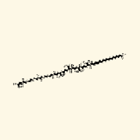 O=C(O)CCCCCCCCCCCCCCCCC(=O)N[C@@H](CCC(=O)N[C@H](CCC(=O)N[C@@H](CCC(=O)N[C@H](CCC(=O)NCCOCCOCC(=O)NCCOCCOCC(=O)NCC(=O)O)C(=O)O)C(=O)O)C(=O)O)C(=O)O